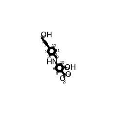 COC(=O)c1ccc(NCc2ccc(C#CCO)cc2)cc1O